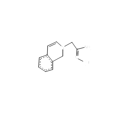 NC(CN1C=Cc2ccccc2C1)=NO